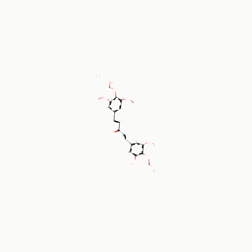 COCOc1c(OC)cc(C=CC(=O)C=Cc2cc(OC)c(OCOC)c(OC)c2)cc1OC